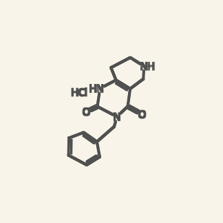 Cl.O=c1[nH]c2c(c(=O)n1Cc1ccccc1)CNCC2